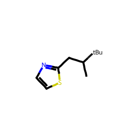 CC(Cc1nccs1)C(C)(C)C